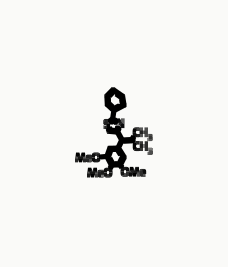 COc1cc(C(=C(C)C)c2csc(-c3ccccc3)n2)cc(OC)c1OC